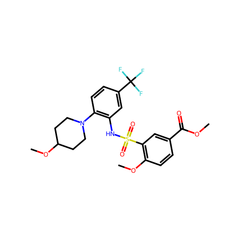 COC(=O)c1ccc(OC)c(S(=O)(=O)Nc2cc(C(F)(F)F)ccc2N2CCC(OC)CC2)c1